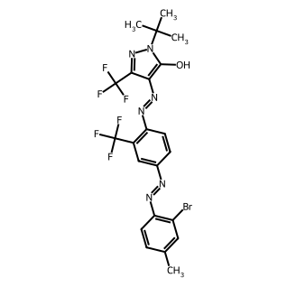 Cc1ccc(/N=N/c2ccc(/N=N/c3c(C(F)(F)F)nn(C(C)(C)C)c3O)c(C(F)(F)F)c2)c(Br)c1